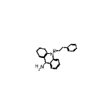 NC1C2=C(CCCC2)N(OCCc2ccccc2)c2ccccc21